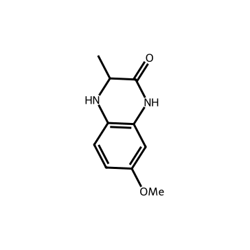 COc1ccc2c(c1)NC(=O)C(C)N2